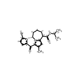 Cc1cc2n(c1C(=O)c1ccc(Br)s1)CCCCC2C(=O)OC(C)C